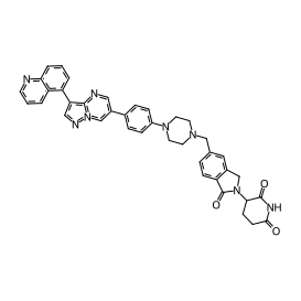 O=C1CCC(N2Cc3cc(CN4CCN(c5ccc(-c6cnc7c(-c8cccc9ncccc89)cnn7c6)cc5)CC4)ccc3C2=O)C(=O)N1